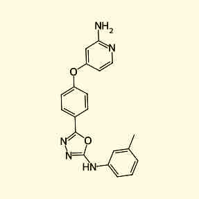 Cc1cccc(Nc2nnc(-c3ccc(Oc4ccnc(N)c4)cc3)o2)c1